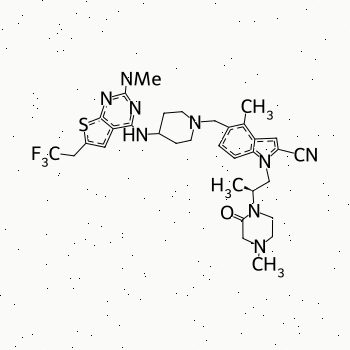 CNc1nc(NC2CCN(Cc3ccc4c(cc(C#N)n4C[C@H](C)N4CCN(C)CC4=O)c3C)CC2)c2cc(CC(F)(F)F)sc2n1